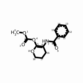 COC(=O)OC1=C(NC(=O)c2ccccc2)CCCO1